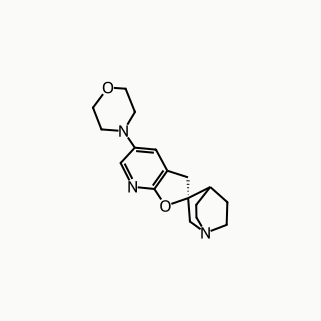 c1nc2c(cc1N1CCOCC1)C[C@]1(CN3CCC1CC3)O2